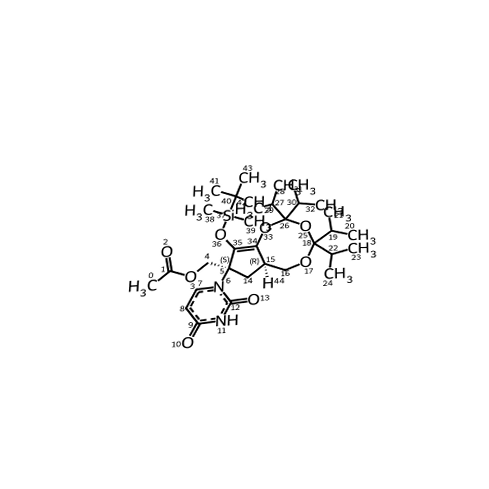 CC(=O)OC[C@@]1(n2ccc(=O)[nH]c2=O)C[C@@H]2COC(C(C)C)(C(C)C)OC(C(C)C)(C(C)C)OC2=C1O[Si](C)(C)C(C)(C)C